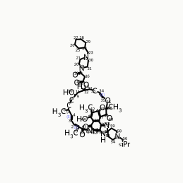 C/C1=C/C=C/C(C)CCC(O)C[C@H](OC(=O)CC(=O)N2CCN(CC3CCCCC3)CC2)CC/C=C/OC2(C)Oc3c(C)c(O)c4c(c3C2=O)C2=NC3(CCN(CC(C)C)CC3)NC2=C(NC1=O)C4=O